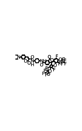 CCN(CC)c1ccc2cc(C(=O)NC3CCC(NC(=O)c4ccc5c(c4)C(=O)OC54c5cc(F)c(OS(=O)(=O)C(F)(F)F)c(F)c5Oc5c4cc(F)c(OS(=O)(=O)C(F)(F)F)c5F)CC3)c(=O)oc2c1